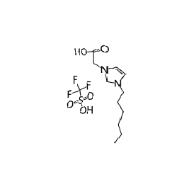 CCCCCCN1C=CN(CC(=O)O)C1.O=S(=O)(O)C(F)(F)F